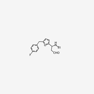 CCNC(CC=O)c1ccc(Cc2ccc(F)cc2)o1